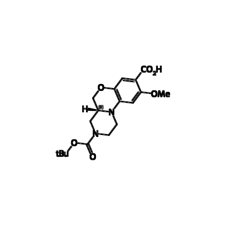 COc1cc2c(cc1C(=O)O)OC[C@H]1CN(C(=O)OC(C)(C)C)CCN21